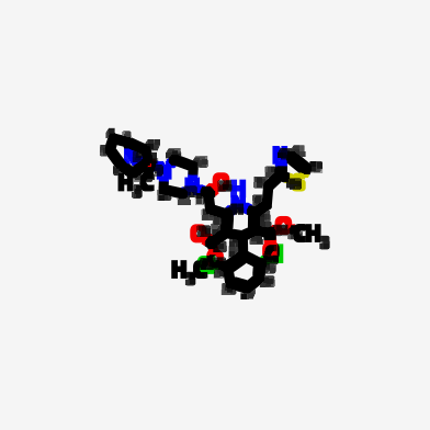 CCN1C2CCC1CC(N1CCN(C(=O)CC3=C(C(=O)OC)C(c4c(Cl)cccc4Cl)C(C(=O)OC)=C(CCc4nccs4)N3)CC1)C2